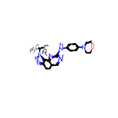 CC(C)n1nnc2ccc3cnc(Nc4ccc(N5CCOCC5)cc4)nc3c21